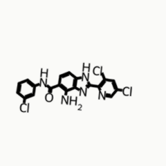 Nc1c(C(=O)Nc2cccc(Cl)c2)ccc2[nH]c(-c3ncc(Cl)cc3Cl)nc12